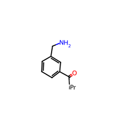 CC(C)C(=O)c1cccc(CN)c1